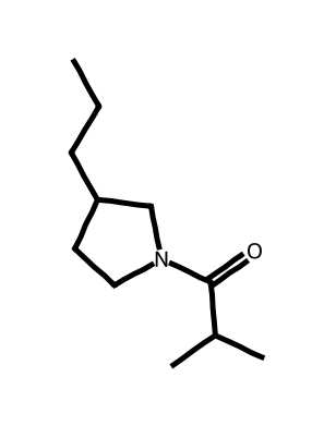 CCCC1CCN(C(=O)C(C)C)C1